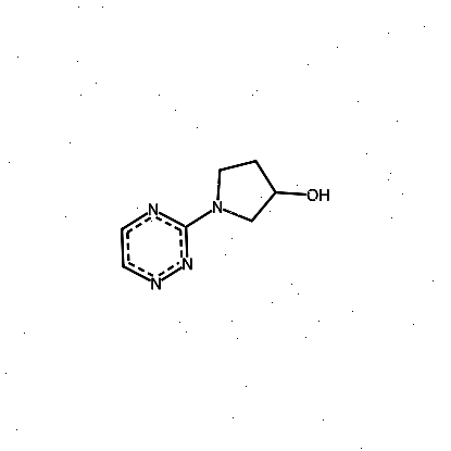 OC1CCN(c2nccnn2)C1